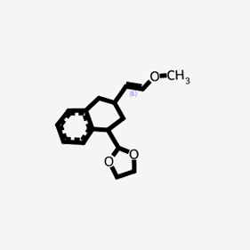 CO/C=C/C1Cc2ccccc2C(C2OCCO2)C1